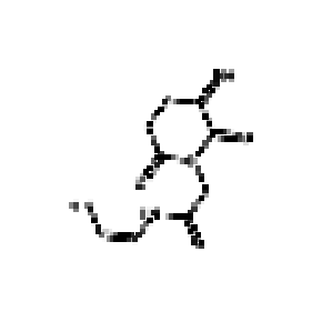 C=C(CN1C(=O)CCC(=N)C1=O)N/C=C\N